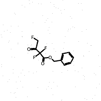 O=C(CF)C(F)(F)C(=O)OCc1ccccc1